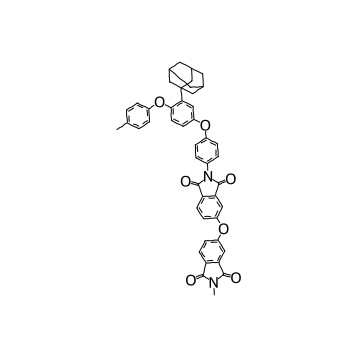 Cc1ccc(Oc2ccc(Oc3ccc(N4C(=O)c5ccc(Oc6ccc7c(c6)C(=O)N(C)C7=O)cc5C4=O)cc3)cc2C23CC4CC(CC(C4)C2)C3)cc1